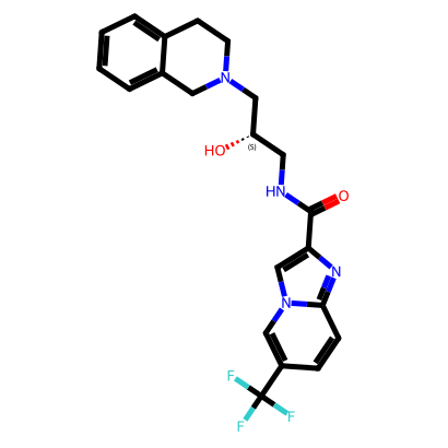 O=C(NC[C@H](O)CN1CCc2ccccc2C1)c1cn2cc(C(F)(F)F)ccc2n1